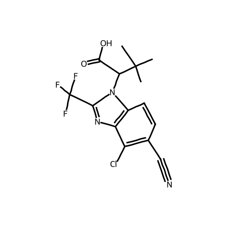 CC(C)(C)C(C(=O)O)n1c(C(F)(F)F)nc2c(Cl)c(C#N)ccc21